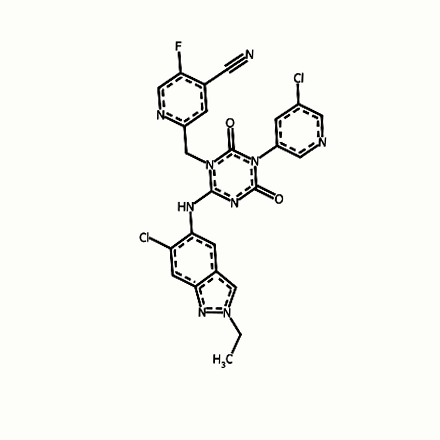 CCn1cc2cc(Nc3nc(=O)n(-c4cncc(Cl)c4)c(=O)n3Cc3cc(C#N)c(F)cn3)c(Cl)cc2n1